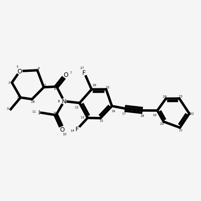 CC1COCC(C(=O)N(C(=O)I)c2c(F)cc(C#Cc3ccccc3)cc2F)C1